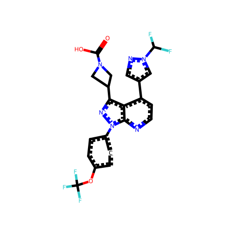 O=C(O)N1CC(c2nn(-c3ccc(OC(F)(F)F)cc3)c3nccc(-c4cnn(C(F)F)c4)c23)C1